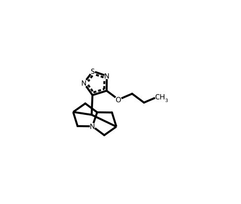 CCCOc1nsnc1C1C2CC3CC1CN3C2